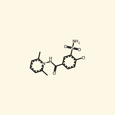 Cc1cccc(C)[n+]1NC(=O)c1ccc(Cl)c(S(N)(=O)=O)c1